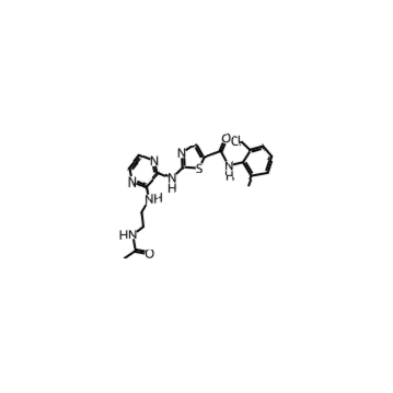 CC(=O)NCCNc1nccnc1Nc1ncc(C(=O)Nc2c(C)cccc2Cl)s1